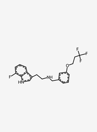 Fc1cccc2c(CCNCc3cccc(OCCC(F)(F)F)c3)c[nH]c12